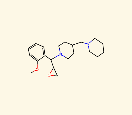 COc1ccccc1C(C1CO1)N1CCC(CN2CCCCC2)CC1